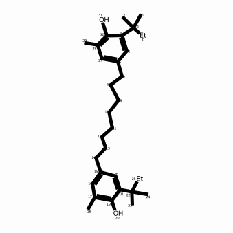 CCC(C)(C)c1cc(CCCCCCCCc2cc(C)c(O)c(C(C)(C)CC)c2)cc(C)c1O